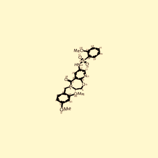 COc1ccc(CN2CCOc3ncc(NS(=O)(=O)c4ccccc4OC)cc3C2=O)c(OC)c1